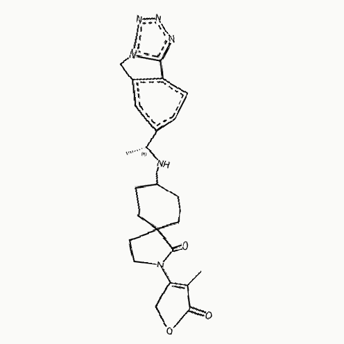 CC1=C(N2CCC3(CCC(N[C@H](C)c4ccc5c(c4)Cn4nnnc4-5)CC3)C2=O)COC1=O